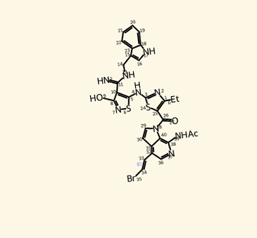 CCc1nc(Nc2snc(O)c2C(=N)NCc2c[nH]c3ccccc23)sc1C(=O)n1ccc2c(/C=C/Br)cnc(NC(C)=O)c21